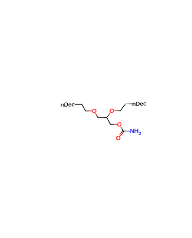 CCCCCCCCCCCCOCC(COC(N)=O)OCCCCCCCCCCCC